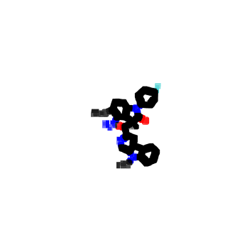 CCCCn1c2ccccc2c2cc(C(=O)[C@@]3(C)C(=O)N(c4ccc(F)cc4)c4ccc(OC)c(N)c43)ncc21